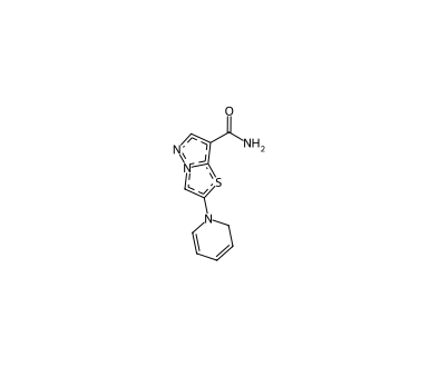 NC(=O)c1cnn2cc(N3C=CC=CC3)sc12